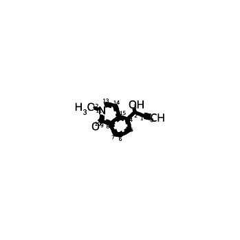 C#CC(O)c1cccc2c(=O)n(C)ccc12